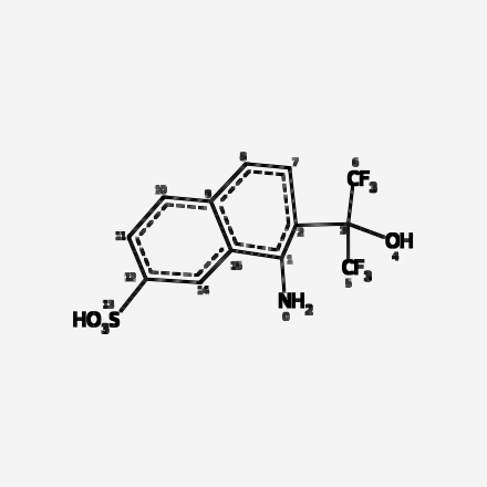 Nc1c(C(O)(C(F)(F)F)C(F)(F)F)ccc2ccc(S(=O)(=O)O)cc12